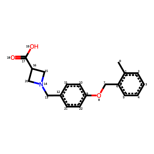 Cc1ccccc1COc1ccc(CN2CC(C(=O)O)C2)cc1